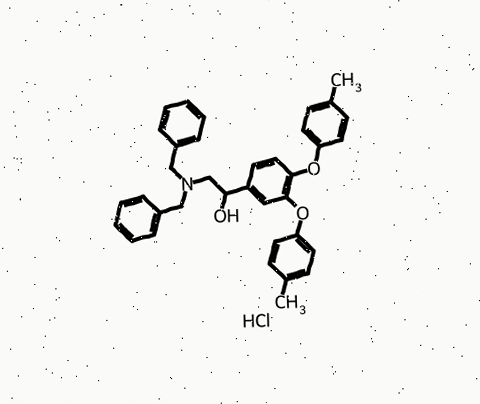 Cc1ccc(Oc2ccc(C(O)CN(Cc3ccccc3)Cc3ccccc3)cc2Oc2ccc(C)cc2)cc1.Cl